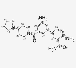 NC(=O)c1cc(-c2cc(N)cc(C(=O)N3CCC(N4CCCC4)CC3)c2)cnc1N